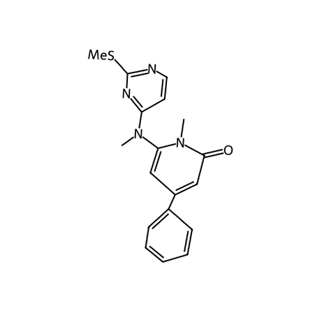 CSc1nccc(N(C)c2cc(-c3ccccc3)cc(=O)n2C)n1